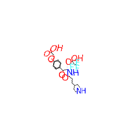 C[C@H](NC(=O)CCC1CCNCC1)C(=O)c1ccc(OCC(=O)O)cc1.O=C(O)C(F)(F)F